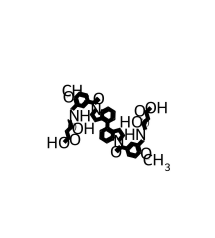 COc1ccc(C(=O)N2CCc3c(-c4cccc5c4CCN5C(=O)c4ccc(OC)c(CNC[C@@H](O)CC(=O)O)c4)cccc32)cc1CNC[C@@H](O)CC(=O)O